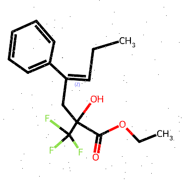 CC/C=C(/CC(O)(C(=O)OCC)C(F)(F)F)c1ccccc1